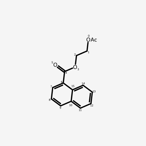 CC(=O)OCCOC(=O)c1cccc2ccccc12